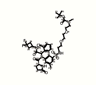 CN(CCOCCOCCNS(=O)(=O)c1cc(F)cc(N(C(=O)[C@@H]2CCC(=O)N2)C(C(=O)NC2CC(F)(F)C2)c2ccccc2Cl)c1)C(=O)OC(C)(C)C